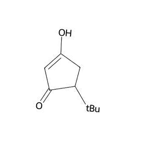 CC(C)(C)C1CC(O)=CC1=O